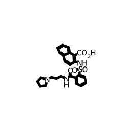 O=C(NCCCN1CCCC1)c1ccccc1S(=O)(=O)Nc1ccc2ccccc2c1C(=O)O